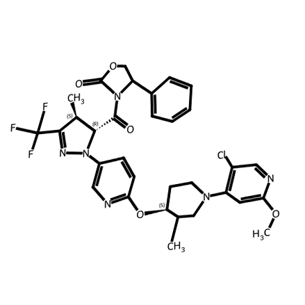 COc1cc(N2CC[C@H](Oc3ccc(N4N=C(C(F)(F)F)[C@@H](C)[C@@H]4C(=O)N4C(=O)OCC4c4ccccc4)cn3)C(C)C2)c(Cl)cn1